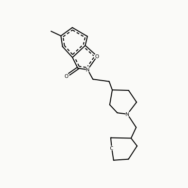 Cc1ccc2on(CCC3CCN(CC4CCCCC4)CC3)c(=O)c2c1